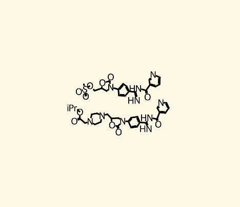 CC(C)OC(=O)CN1CCN(CC2CN(c3ccc(C(=N)NC(=O)c4cccnc4)cc3)C(=O)O2)CC1.CS(=O)(=O)OCC1CN(c2ccc(C(=N)NC(=O)c3cccnc3)cc2)C(=O)O1